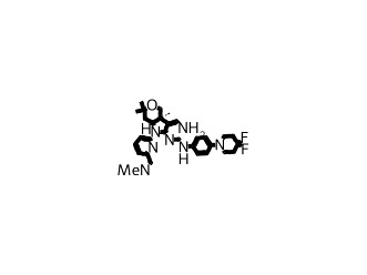 CNCc1cccc(N2C(=N/CNc3ccc(N4CCC(F)(F)CC4)cc3)/C(=C\N)[C@]3(C)COC(C)(C)C[C@H]23)n1